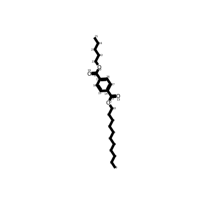 CCCCCCCCCCCOC(=O)c1ccc(C(=O)OCCCCC)cc1